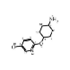 NC1CCC(Oc2ccc(Cl)cn2)CC1